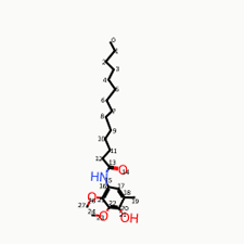 CCCCCCCCCCCCCC(=O)Nc1cc(C)c(O)c(OC)c1OC